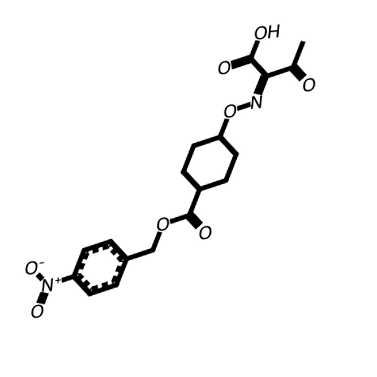 CC(=O)/C(=N/OC1CCC(C(=O)OCc2ccc([N+](=O)[O-])cc2)CC1)C(=O)O